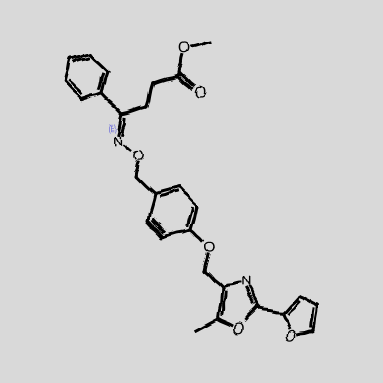 COC(=O)CC/C(=N\OCc1ccc(OCc2nc(-c3ccco3)oc2C)cc1)c1ccccc1